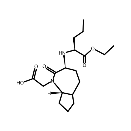 CCC[C@H](N[C@H]1CCC2CCC[C@@H]2N(CC(=O)O)C1=O)C(=O)OCC